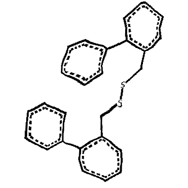 c1ccc(-c2ccccc2CSSCc2ccccc2-c2ccccc2)cc1